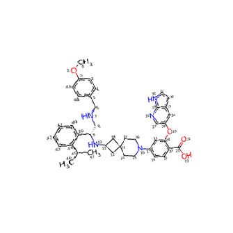 COc1ccc(CNC[C@H](NC2CC3(CCN(c4ccc(C(=O)O)c(Oc5cnc6[nH]ccc6c5)c4)CC3)C2)c2ccccc2C(C)C)cc1